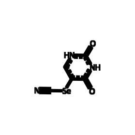 N#C[Se]c1c[nH]c(=O)[nH]c1=O